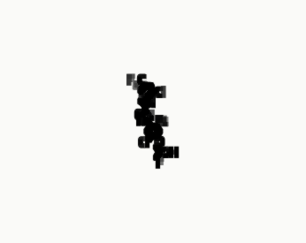 CCc1cc(OCC(O)CF)c(Cl)cc1-c1noc(-c2cn3cc(C(F)(F)F)cc(Cl)c3n2)n1